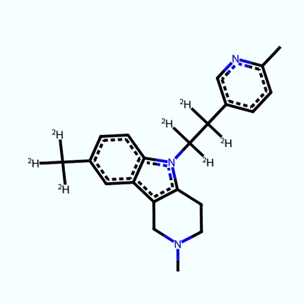 [2H]C([2H])([2H])c1ccc2c(c1)c1c(n2C([2H])([2H])C([2H])([2H])c2ccc(C)nc2)CCN(C)C1